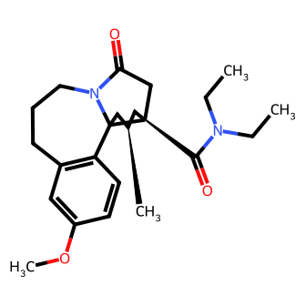 CCN(CC)C(=O)[C@H]1C2CC(=O)N3CCCc4cc(OC)ccc4C23C[C@@H]1C